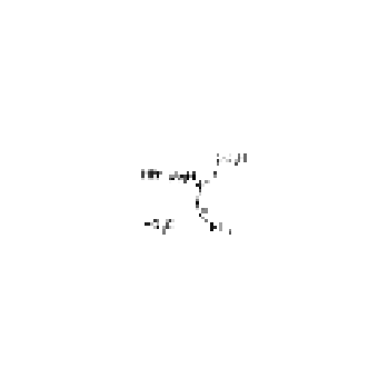 Br.N[C@@H](CCC(=O)O)C(=O)O.[MgH2]